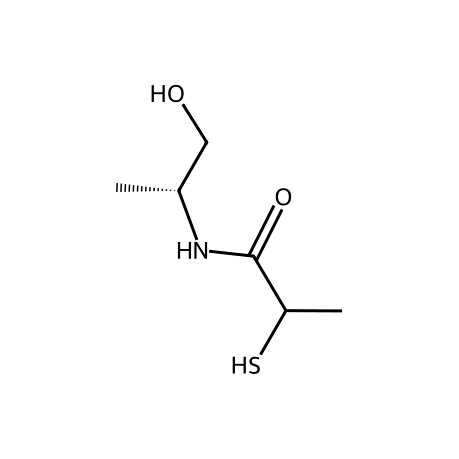 CC(S)C(=O)N[C@H](C)CO